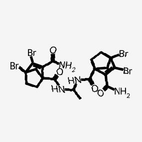 CC(NC(=O)C12CCC(Br)(C1)C(Br)=C2C(N)=O)NC(=O)C12CCC(Br)(C1)C(Br)=C2C(N)=O